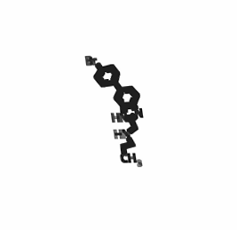 CCCNCc1nc2ccc(-c3ccc(Br)cc3)cc2[nH]1